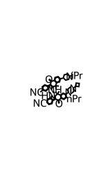 CC(C)N1CCC(c2ccc3c(c2)C(C)(C)c2[nH]c4cc(C#N)ccc4c2C3=O)CC1.CCCc1cc2c(cc1N1CCN(C3CCC3)CC1)C(C)(C)c1[nH]c3cc(C#N)ccc3c1C2=O